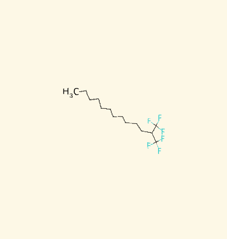 CCCCCCCCCCCC(C(F)(F)F)C(F)(F)F